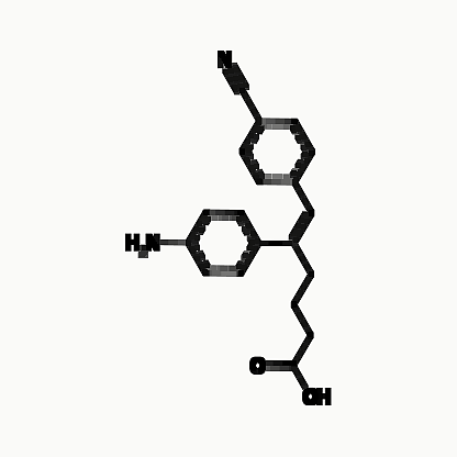 N#Cc1ccc(C=C(CCCC(=O)O)c2ccc(N)cc2)cc1